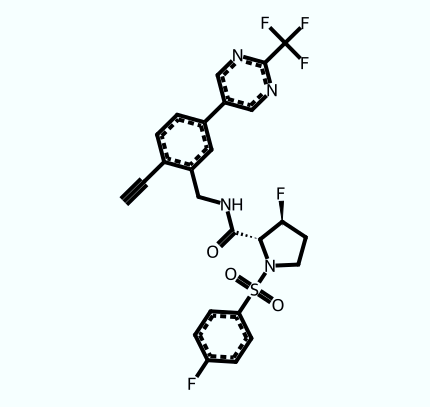 C#Cc1ccc(-c2cnc(C(F)(F)F)nc2)cc1CNC(=O)[C@@H]1[C@@H](F)CCN1S(=O)(=O)c1ccc(F)cc1